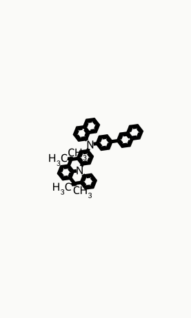 CC1(C)c2ccccc2N2c3ccc(N(c4ccc(-c5ccc6ccccc6c5)cc4)c4cccc5ccccc45)cc3C(C)(C)c3cccc1c32